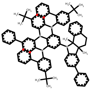 CC(C)(C)c1ccc2c(c1)B1c3cc(-c4ccccc4)ccc3N(c3ccc(C(C)(C)C)cc3-c3ccccc3)c3cc(N4c5ccc(-c6ccccc6)cc5C5(C)CCc6ccccc6C45C)cc(c31)N2c1ccc(C(C)(C)C)cc1-c1ccccc1